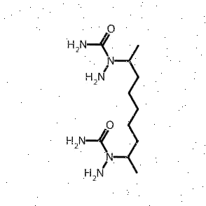 CC(CCCCCC(C)N(N)C(N)=O)N(N)C(N)=O